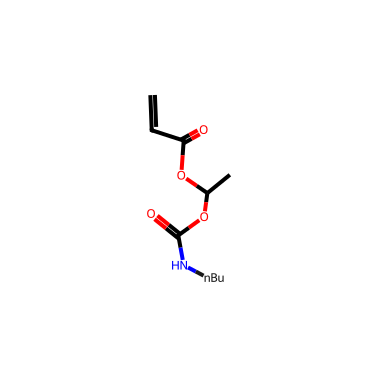 C=CC(=O)OC(C)OC(=O)NCCCC